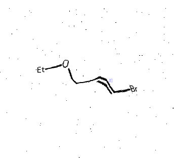 C[CH]OC/C=C/Br